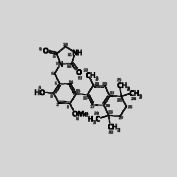 COc1cc(O)c(CN2C(=O)CNC2=O)cc1-c1cc2c(cc1C)C(C)(C)CCC2(C)C